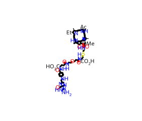 CC[C@H]1c2cc3[nH]c4c(c3C)C(=O)C(C(=O)OC)c4c3nc(cc4[nH]c(cc(n2)[C@@H]1C)c(C(C)=O)c4C)[C@@H](C)[C@@H]3CCC(=O)NCCSSC[C@@H](NC(=O)CCOCCNC(=O)CC[C@H](NC(=O)c1ccc(NCc2cnc3nc(N)[nH]c(=O)c3n2)cc1)C(=O)O)C(=O)O